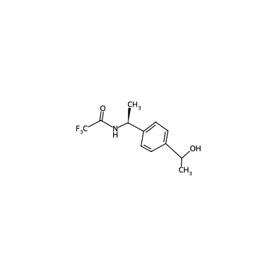 CC(O)c1ccc([C@H](C)NC(=O)C(F)(F)F)cc1